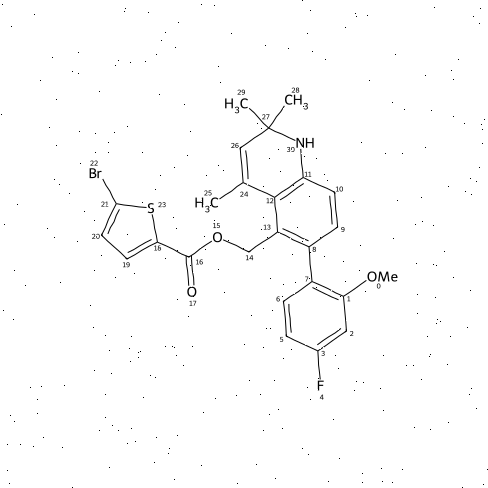 COc1cc(F)ccc1-c1ccc2c(c1COC(=O)c1ccc(Br)s1)C(C)=CC(C)(C)N2